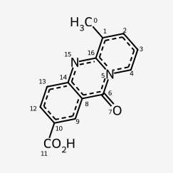 Cc1cccn2c(=O)c3cc(C(=O)O)ccc3nc12